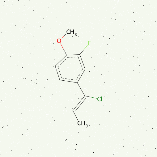 CC=C(Cl)c1ccc(OC)c(F)c1